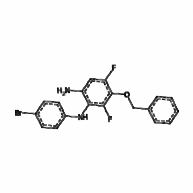 Nc1cc(F)c(OCc2ccccc2)c(F)c1Nc1ccc(Br)cc1